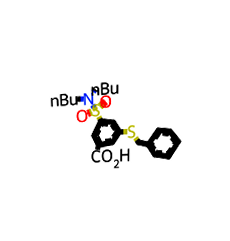 CCCCN(CCCC)S(=O)(=O)c1cc(SCc2ccccc2)cc(C(=O)O)c1